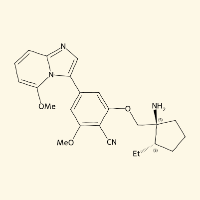 CC[C@H]1CCC[C@@]1(N)COc1cc(-c2cnc3cccc(OC)n23)cc(OC)c1C#N